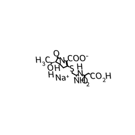 CC(O)[C@H]1C(=O)N2C(C(=O)[O-])=C(SC[C@@H](N)NC(=O)CC(=O)O)C[C@H]12.[Na+]